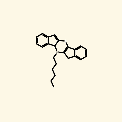 CCCCCCN1C2=C(SC3=Cc4ccccc4C31)c1ccccc1C2